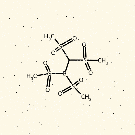 CS(=O)(=O)B(C(S(C)(=O)=O)S(C)(=O)=O)S(C)(=O)=O